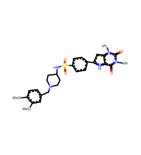 CCCn1c(=O)c2[nH]c(-c3ccc(S(=O)(=O)NC4CCN(Cc5ccc(OC)c(OC)c5)CC4)cc3)cc2n(CCC)c1=O